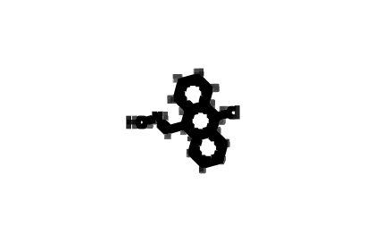 ON=Cc1c2ccccc2c(Cl)c2ccccc12